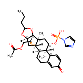 CCCC1O[C@@H]2C[C@H]3[C@@H]4CCC5=CC(=O)C=C[C@]5(C)[C@H]4[C@@H](OP(=O)(O)n4ccnc4)C[C@]3(C)[C@]2(C(=P)COC(C)=O)O1